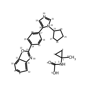 CC1(NC(=O)O)CC1.c1ccc2oc(-c3ccc(-c4cncn4C4CCCC4)cc3)nc2c1